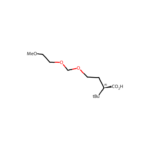 COCCOCOCC[C@@H](C(=O)O)C(C)(C)C